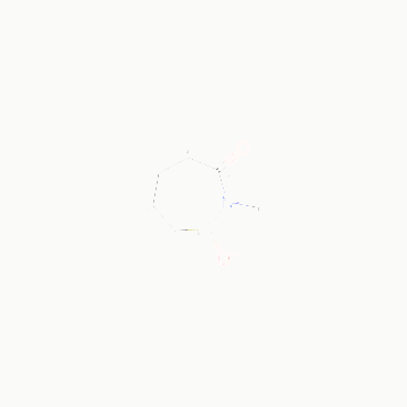 CN1C(=O)CCCC[S+]1[O-]